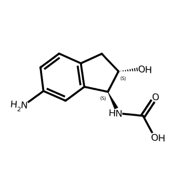 Nc1ccc2c(c1)[C@H](NC(=O)O)[C@@H](O)C2